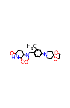 Cc1cc(N2CCC3(CC2)OCCO3)ccc1CN(C=O)C1CCC(=O)NC1=O